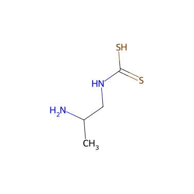 CC(N)CNC(=S)S